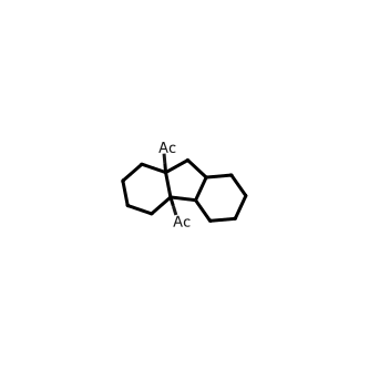 CC(=O)C12CCCCC1(C(C)=O)C1CCCCC1C2